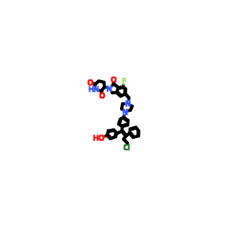 O=C1CCC(N2Cc3cc(CN4CCN(c5ccc(/C(=C(/CCCl)c6ccccc6)c6ccc(O)cc6)cc5)CC4)cc(F)c3C2=O)C(=O)N1